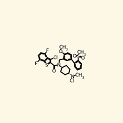 COc1ccc(-c2ccccc2S(C)(=O)=O)cc1CN(C(=O)c1sc2c(F)ccc(F)c2c1Cl)[C@H]1CC[C@H](N(C)Cl)CC1